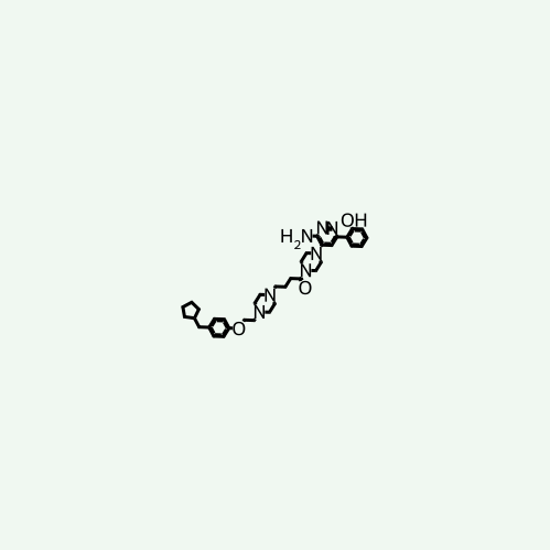 Nc1nnc(-c2ccccc2O)cc1N1CCN(C(=O)CCCN2CCN(CCOc3ccc(CC4CCCC4)cc3)CC2)CC1